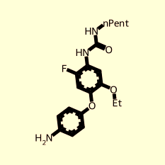 CCCCCNC(=O)Nc1cc(OCC)c(Oc2ccc(N)cc2)cc1F